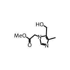 COC(=O)Cn1cnc(C)c1CO